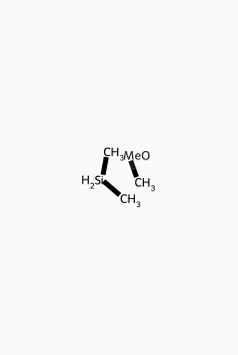 COC.C[SiH2]C